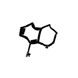 CC(C)c1cccc2c1SCCC2